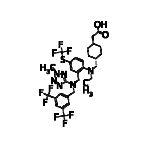 CCN(C[C@H]1CC[C@H](CC(=O)O)CC1)c1ccc(SC(F)(F)F)cc1CN(Cc1cc(C(F)(F)F)cc(C(F)(F)F)c1)c1nnn(C)n1